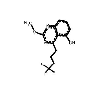 COc1nc(CCCC(F)(F)F)c2c(O)cccc2n1